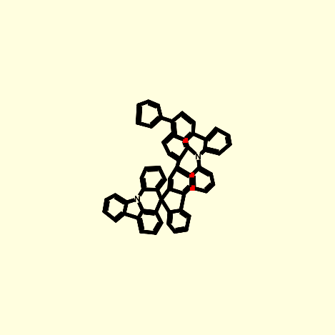 c1ccc(-c2ccc(-c3ccccc3N(c3ccccc3)c3ccccc3-c3ccc4c(c3)C3(c5ccccc5-4)c4ccccc4-n4c5ccccc5c5cccc3c54)cc2)cc1